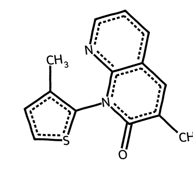 Cc1ccsc1-n1c(=O)c(C)cc2cccnc21